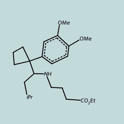 CCOC(=O)CCCNC(CC(C)C)C1(c2ccc(OC)c(OC)c2)CCC1